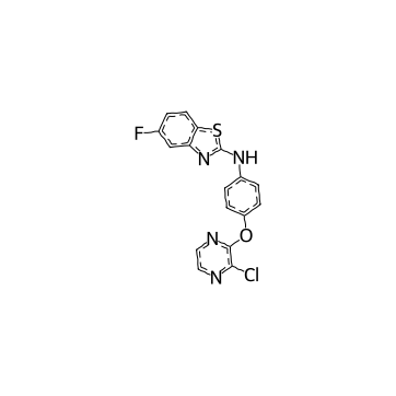 Fc1ccc2sc(Nc3ccc(Oc4nccnc4Cl)cc3)nc2c1